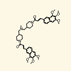 COc1cc2ccc(C=CC(=O)N3CCC(CN(C)CC4CCN(C(=O)C=Cc5ccc6cc(OC)c(OC)c(OC)c6c5)CC4)CC3)cc2c(OC)c1OC